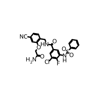 N#Cc1ccc(CNC(=O)c2cc(Cl)c(F)c(NS(=O)(=O)c3ccccc3)c2)c(OCC(N)=O)c1